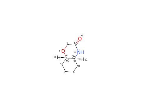 O=C1CO[C@H]2CCCC[C@@H]2N1